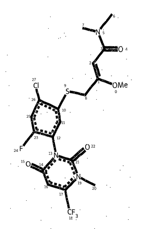 COC(=CC(=O)N(C)C)CSc1cc(-n2c(=O)cc(C(F)(F)F)n(C)c2=O)c(F)cc1Cl